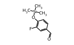 C[Si](C)(C)Oc1ccc(C=O)cc1F